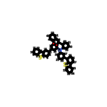 c1cc(-c2ccc3sc4ccccc4c3c2)cc(N(c2cccc(-c3cccc4c3sc3ccccc34)c2)c2ccccc2-c2ccc3ccccc3c2)c1